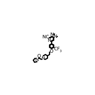 Cn1cnc2c(C#N)nc(-c3ccc(OCCC4CCN(CC(=O)N5CCCC5)CC4)c(C(F)(F)F)c3)cc21